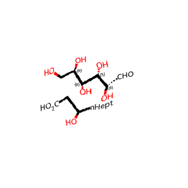 CCCCCCCC(O)CC(=O)O.O=C[C@H](O)[C@@H](O)[C@H](O)[C@H](O)CO